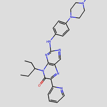 CCC(CC)n1c(=O)c(-c2ccccn2)nc2cnc(Nc3ccc(N4CCN(C)CC4)cc3)nc21